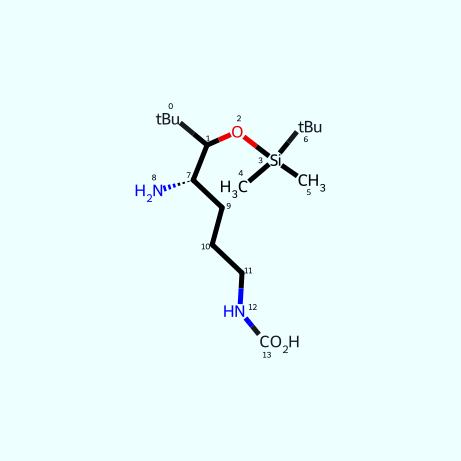 CC(C)(C)C(O[Si](C)(C)C(C)(C)C)[C@@H](N)CCCNC(=O)O